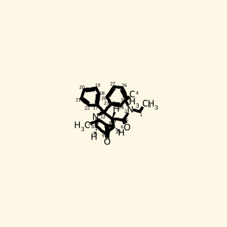 CCN(CC)C(=O)[C@@H]1[C@H]2CCN([C@H](C)C2=O)C1(c1ccccc1)c1ccccc1